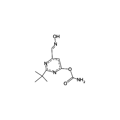 CC(C)(C)c1nc(C=NO)cc(OC(N)=O)n1